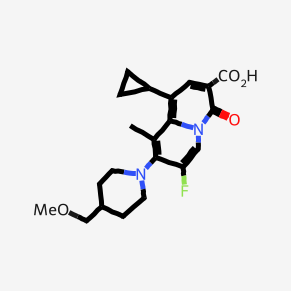 COCC1CCN(c2c(F)cn3c(=O)c(C(=O)O)cc(C4CC4)c3c2C)CC1